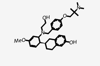 COC1=CC(N(CCO)Cc2ccc(OCC(C)(C)N(C)C)cc2)C([C@@H]2CCc3cc(O)ccc3C2)C=C1